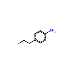 [CH2]CCc1ccc(N)cc1